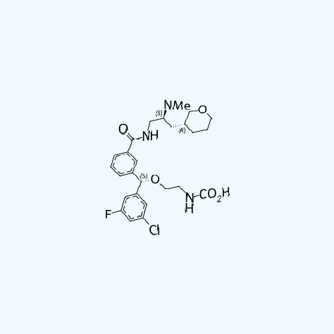 CN[C@H](CNC(=O)c1cccc([C@H](OCCNC(=O)O)c2cc(F)cc(Cl)c2)c1)C[C@H]1CCCOC1